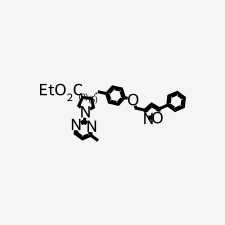 CCOC(=O)[C@H]1CN(c2nccc(C)n2)C[C@H]1Cc1ccc(OCc2cc(-c3ccccc3)on2)cc1